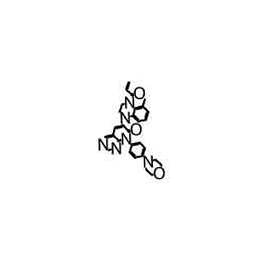 C=CC(=O)N1CCN(c2cc3cncnc3n(-c3ccc(N4CCOCC4)cc3)c2=O)c2cccc(C)c21